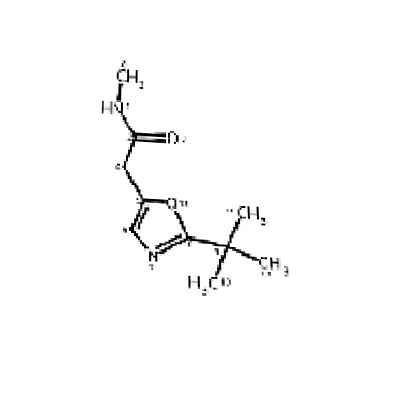 CNC(=O)Cc1cnc(C(C)(C)C)o1